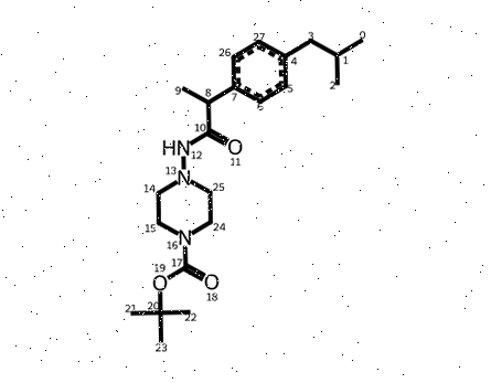 CC(C)Cc1ccc(C(C)C(=O)NN2CCN(C(=O)OC(C)(C)C)CC2)cc1